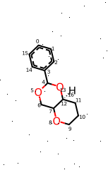 c1ccc(C2OCC3OCCC[C@@H]3O2)cc1